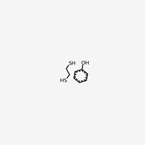 Oc1ccccc1.SCCS